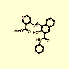 COC(=O)c1cnccc1/N=N/c1c(O)c(C(=O)Nc2ccccc2)cc2ccccc12